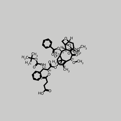 CO[C@H]1C(=O)[C@]2(C)[C@@H](OC)C[C@H]3OC[C@@]3(OC(C)=O)[C@H]2[C@H](OC(=O)c2ccccc2)[C@]2(O)C[C@H](OC(=O)[C@H](OC(=O)CCC(=O)O)[C@@H](NC(=O)OC(C)(C)C)c3ccccc3)C(C)=C1C2(C)C